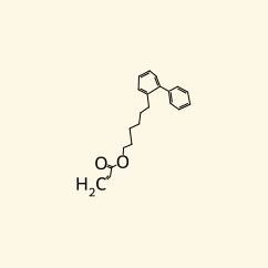 C=CC(=O)OCCCCCCc1ccccc1-c1ccccc1